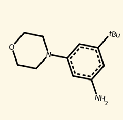 CC(C)(C)c1cc(N)cc(N2CCOCC2)c1